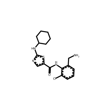 NCc1cccc(Cl)c1NC(=O)c1cnc(NC2CCCCC2)s1